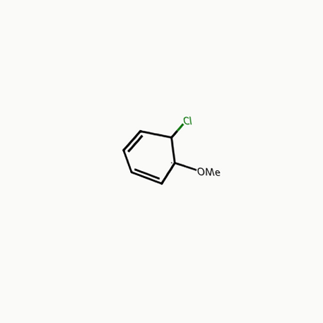 CO[C]1C=CC=CC1Cl